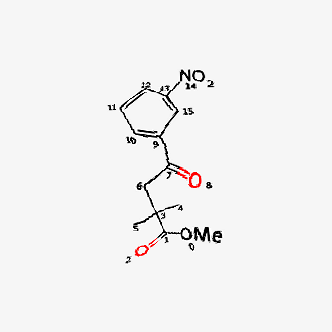 COC(=O)C(C)(C)CC(=O)c1cccc([N+](=O)[O-])c1